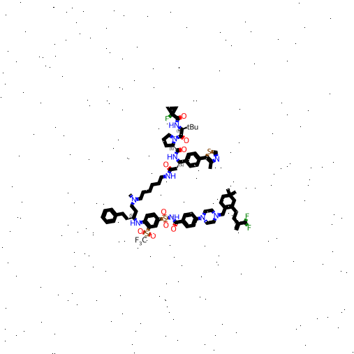 C=C(CCC1=C(CN2CCN(c3ccc(C(=O)NS(=O)(=O)c4ccc(N[C@@H](CCc5ccccc5)CCN(C)CCCCCCNC(=O)C[C@H](NC(=O)[C@@H]5CCCN5C(=O)[C@@H](NC(=O)C5(F)CC5)C(C)(C)C)c5ccc(-c6scnc6C)cc5)c(S(=O)(=O)C(F)(F)F)c4)cc3)CC2)CCC(C)(C)C1)C(F)F